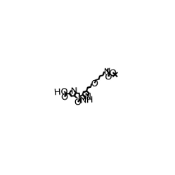 CN(CCCCCOC/C=C/c1cnc2c(c1)[C@@]1(Cc3cc(C(=O)O)cnc3C1)C(=O)N2)C(=O)OC(C)(C)C